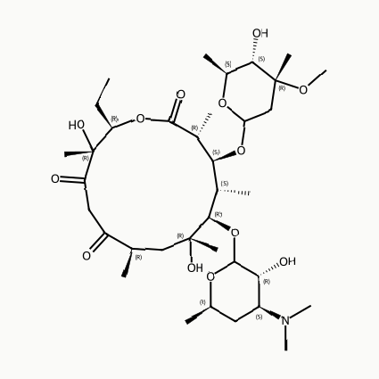 CC[C@H]1OC(=O)[C@H](C)[C@@H](OC2C[C@@](C)(OC)[C@@H](O)[C@H](C)O2)[C@H](C)[C@@H](OC2O[C@H](C)C[C@H](N(C)C)[C@H]2O)[C@](C)(O)C[C@@H](C)C(=O)CC(=O)[C@]1(C)O